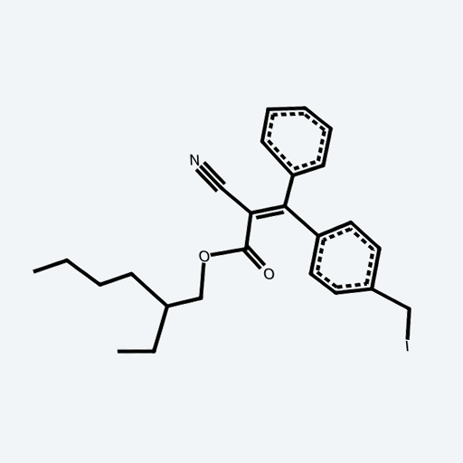 CCCCC(CC)COC(=O)/C(C#N)=C(/c1ccccc1)c1ccc(CI)cc1